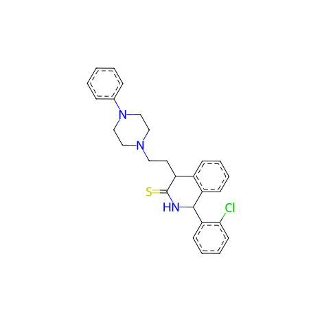 S=C1NC(c2ccccc2Cl)c2ccccc2C1CCN1CCN(c2ccccc2)CC1